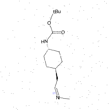 C/N=C\C[C@H]1CC[C@H](NC(=O)OC(C)(C)C)CC1